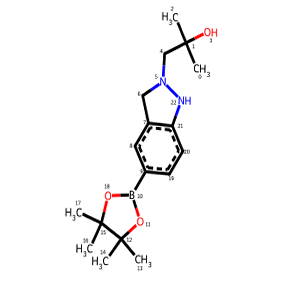 CC(C)(O)CN1Cc2cc(B3OC(C)(C)C(C)(C)O3)ccc2N1